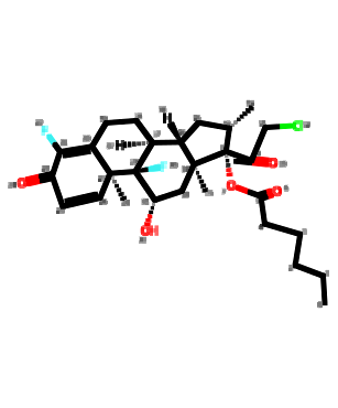 CCCCCC(=O)O[C@@]1(C(=O)CCl)[C@@H](C)C[C@H]2[C@@H]3CCC4=C(F)C(=O)C=C[C@]4(C)[C@@]3(F)[C@@H](O)C[C@@]21C